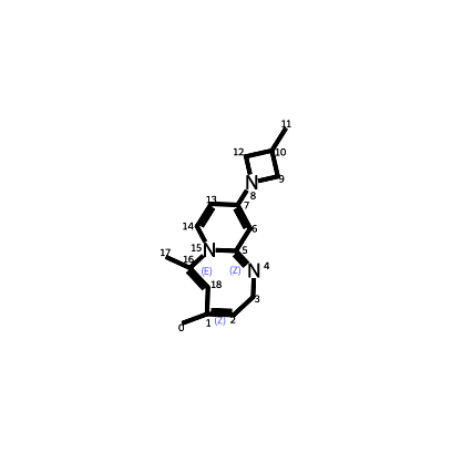 CC1=C/C/N=C2/C=C(N3CC(C)C3)C=CN2\C(C)=C\1